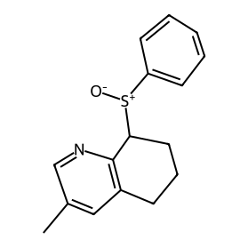 Cc1cnc2c(c1)CCCC2[S+]([O-])c1ccccc1